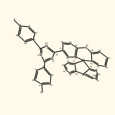 Cc1ccc(-c2nc(-c3ccc(C)cc3)nc(-c3ccc4c(c3)C3(c5ccccc5S4)c4ccccc4-c4ccccc43)n2)cc1